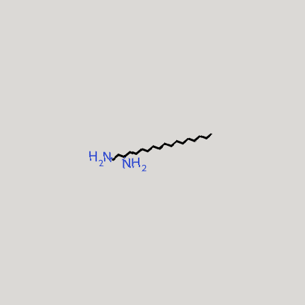 CCCCCCCCCCCCCCCC(N)CCN